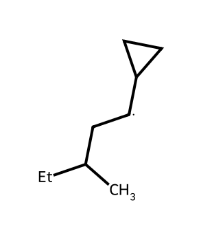 CCC(C)C[CH]C1CC1